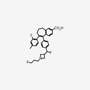 Cc1ccc(C2=C(c3ccc(C(F)C4CN(CCCF)C4)cc3)c3ccc(C(=O)O)cc3CCC2)c(F)c1